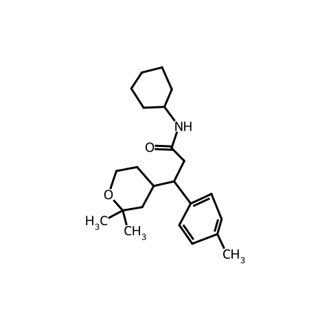 Cc1ccc(C(CC(=O)NC2CCCCC2)C2CCOC(C)(C)C2)cc1